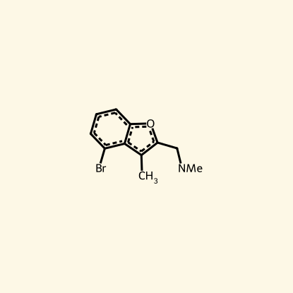 CNCc1oc2cccc(Br)c2c1C